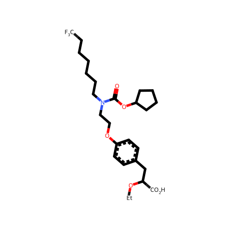 CCOC(Cc1ccc(OCCN(CCCCCCC(F)(F)F)C(=O)OC2CCCC2)cc1)C(=O)O